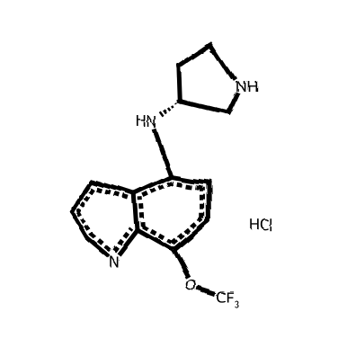 Cl.FC(F)(F)Oc1ccc(N[C@@H]2CCNC2)c2cccnc12